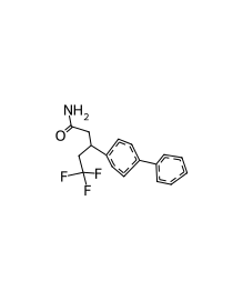 NC(=O)CC(CC(F)(F)F)c1ccc(-c2ccccc2)cc1